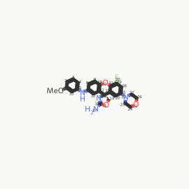 COc1cccc(Nc2ccc3c(c2)[C@@]2(COC(N)=N2)c2cc(N4CCOCC4)cc(F)c2O3)c1